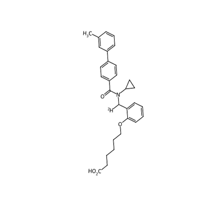 [2H]C(c1ccccc1OCCCCCC(=O)O)N(C(=O)c1ccc(-c2cccc(C)c2)cc1)C1CC1